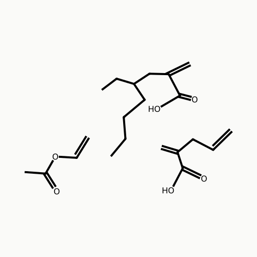 C=C(CC(CC)CCCC)C(=O)O.C=CCC(=C)C(=O)O.C=COC(C)=O